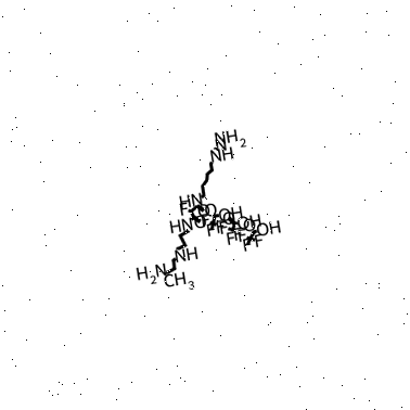 CC(N)CCNCCCCNC(=O)C(F)C(=O)NCCCCCCNC=NN.O=C(O)C(F)(F)F.O=C(O)C(F)(F)F.O=C(O)C(F)(F)F